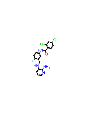 Nc1ncccc1NCc1cc(NC(=O)c2ccc(Cl)cc2Cl)ccc1F